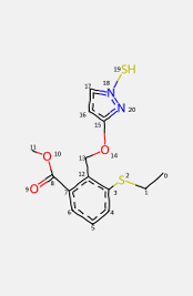 CCSc1cccc(C(=O)OC)c1COc1ccn(S)n1